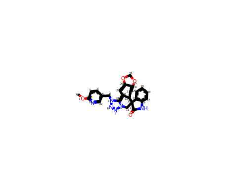 COc1ccc(CN2N=NN3CC4(C(=O)Nc5ccccc54)C4C=C5OCOC5=CC4=C23)cn1